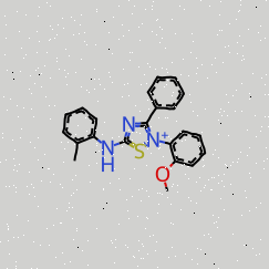 COc1ccccc1-[n+]1sc(Nc2ccccc2C)nc1-c1ccccc1